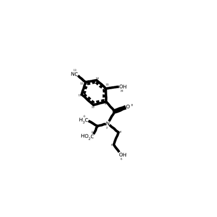 CC(C(=O)O)N(CCO)C(=O)c1ccc(C#N)cc1O